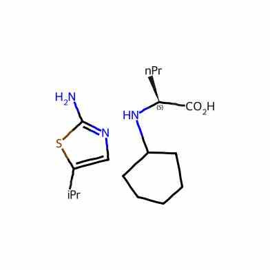 CC(C)c1cnc(N)s1.CCC[C@H](NC1CCCCC1)C(=O)O